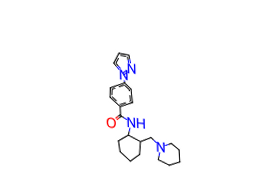 O=C(NC1CCCCC1CN1CCCCC1)c1ccc(-n2cccn2)cc1